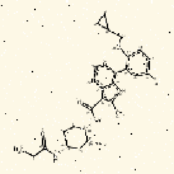 CCC(=O)N[C@@H]1CC[C@H](NC(=O)c2c(C)[nH]c3c(-c4cc(F)ccc4OCC4CC4)ncnc23)[C@H](F)C1